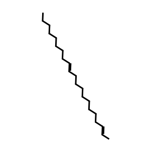 CC=CCCCCCCCCC=CCCCCCCCC